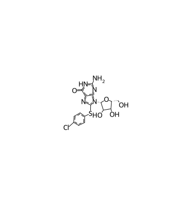 Nc1nc2c(nc(Sc3ccc(Cl)cc3)n2[C@@H]2O[C@H](CO)C(O)C2O)c(=O)[nH]1